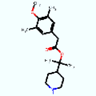 COc1c(C)cc(CC(=O)OC(C)(C)C2CCNCC2)cc1C